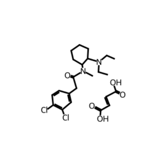 CCN(CC)C1CCCCC1N(C)C(=O)Cc1ccc(Cl)c(Cl)c1.O=C(O)C=CC(=O)O